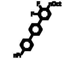 CCCCCCCCc1ccc(-c2ccc(-c3ccc(CCC)cc3)cc2)c(F)c1F